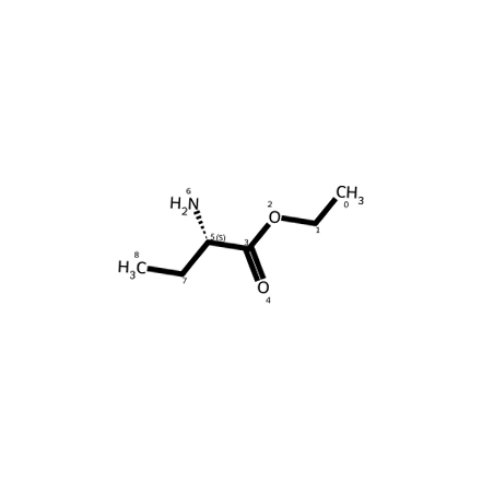 CCOC(=O)[C@@H](N)CC